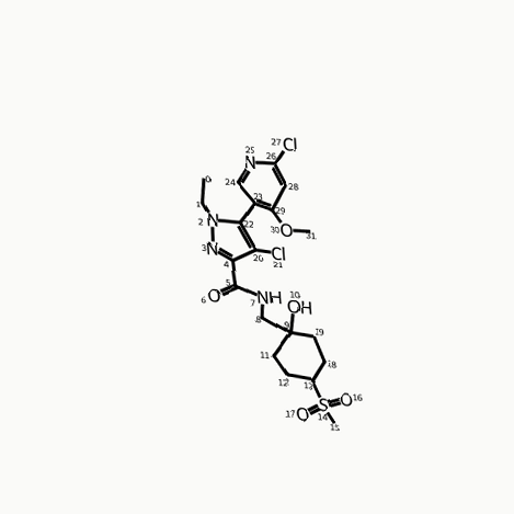 CCn1nc(C(=O)NCC2(O)CCC(S(C)(=O)=O)CC2)c(Cl)c1-c1cnc(Cl)cc1OC